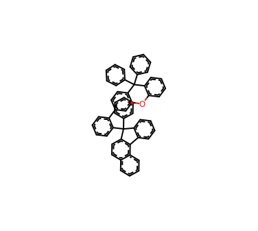 c1ccc(C2(c3ccccc3)c3ccccc3Oc3cc(-c4ccccc4C4(c5ccccc5)c5ccccc5-c5c4ccc4ccccc54)ccc32)cc1